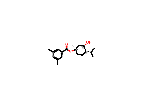 Cc1cc(C)cc(C(=O)O[C@]2(C)CC[C@@H](C(C)C)[C@H](O)C2)c1